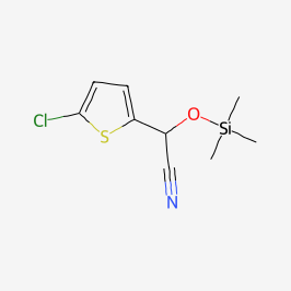 C[Si](C)(C)OC(C#N)c1ccc(Cl)s1